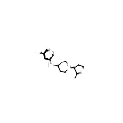 CC1OCCC1N1CCC(Nc2cncc(C(C)(C)C)c2)CC1